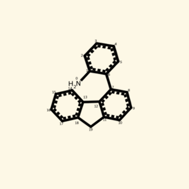 Nc1ccccc1-c1cccc2c1-c1ccccc1C2